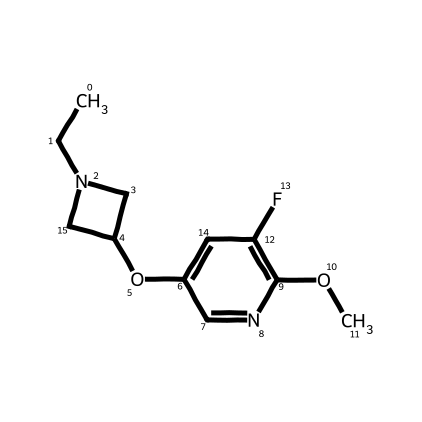 CCN1CC(Oc2cnc(OC)c(F)c2)C1